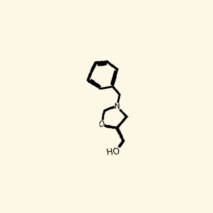 OCC1CN(Cc2ccccc2)CO1